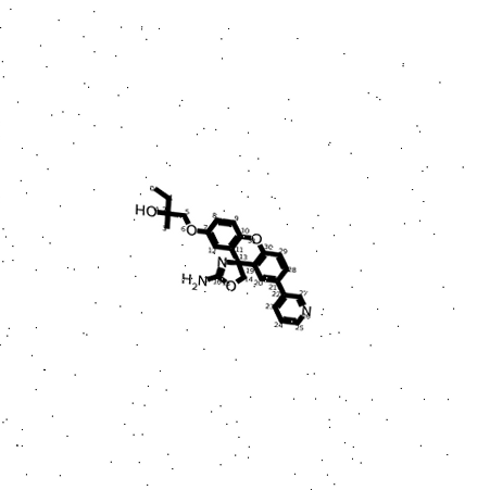 CCC(C)(O)COc1ccc2c(c1)C1(COC(N)=N1)c1cc(-c3cccnc3)ccc1O2